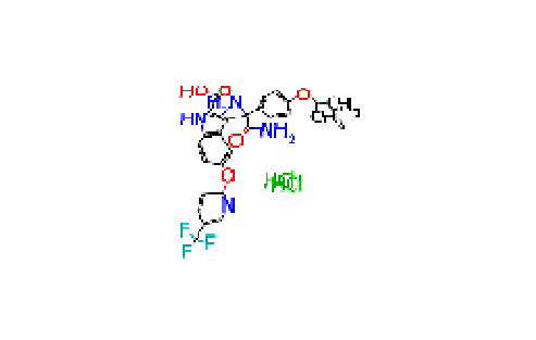 CC(C)Oc1ccc(C(N)(C(N)=O)c2c(C(=O)O)[nH]c3ccc(Oc4ccc(C(F)(F)F)cn4)cc23)cc1.Cl.Cl